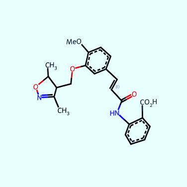 COc1ccc(/C=C/C(=O)Nc2ccccc2C(=O)O)cc1OCC1C(C)=NOC1C